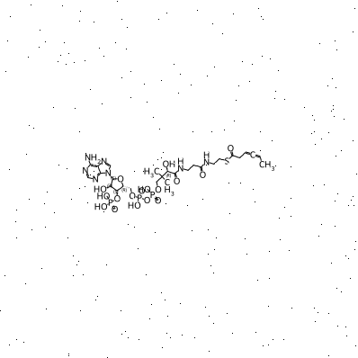 CC=C=CCC(=O)SCCNC(=O)CCNC(=O)[C@H](O)C(C)(C)COP(=O)(O)OP(=O)(O)OC[C@H]1O[C@H](n2cnc3c(N)ncnc32)[C@H](O)[C@@H]1OP(=O)(O)O